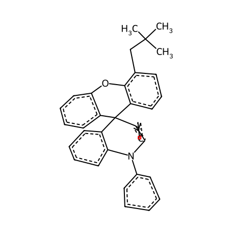 CC(C)(C)Cc1cccc2c1Oc1ccccc1C21c2ccccc2N(c2ccccc2)c2ccccc21